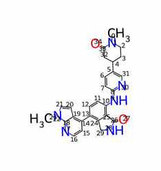 CN1CCC(c2ccc(Nc3ccc(-c4ccnc5c4ccn5C)c4c3C(=O)NC4)nc2)CC1=O